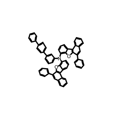 c1ccc(-c2ccc(-c3cccc(N(c4cccc5c4oc4c(-c6ccccc6)cc6ccccc6c45)c4cccc5c4oc4c(-c6ccccc6)cc6ccccc6c45)c3)cc2)cc1